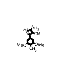 COc1cc(-c2n[nH]c(N)c2C#N)cc(OC)c1C